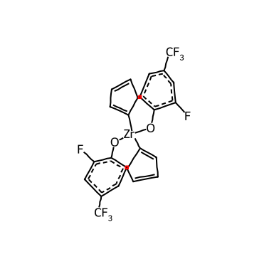 Fc1cc(C(F)(F)F)ccc1[O][Zr]([O]c1ccc(C(F)(F)F)cc1F)([C]1=CC=CC1)[C]1=CC=CC1